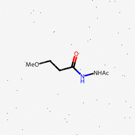 COCCC(=O)NNC(C)=O